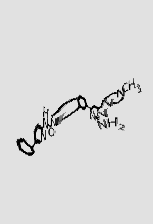 CN1CCN(c2cc(-c3ccc4c(c3)CN(C(=O)Nc3ccc(-c5ccccc5)cn3)CC4)nc(N)n2)CC1